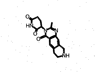 Cc1nc2cc3c(cc2c(=O)n1C1CCC(=O)NC1=O)CCNC3